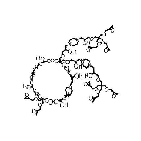 OC1COCC(COCC(O)CN2CCN(CC(O)COCC(COCC3CO3)(COCC3CO3)COCC3CO3)CC2)(COCC(O)CN2CCN(CC(O)COCC(COCC3CO3)(COCC3CO3)COCC3CO3)CC2)COCC(O)CN2CCN(CC2)CC(O)COCC(COCC2CO2)(COCC2CO2)COCC(O)CN2CCN(CC2)C1